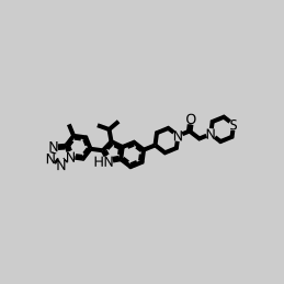 Cc1cc(-c2[nH]c3ccc(C4CCN(C(=O)CN5CCSCC5)CC4)cc3c2C(C)C)cn2nnnc12